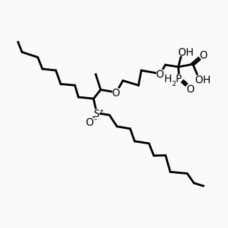 CCCCCCCCCCC[S+]([O-])C(CCCCCCCC)C(C)OCCCOCC(O)([PH2]=O)C(=O)O